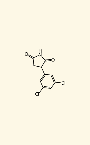 O=C1CC(c2cc(Cl)cc(Cl)c2)C(=O)N1